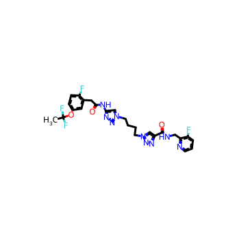 CC(F)(F)Oc1ccc(F)c(CC(=O)Nc2cn(CCCCn3cc(C(=O)NCc4ncccc4F)nn3)nn2)c1